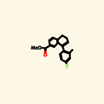 COC(=O)c1ccc2c(c1)C(c1ccc(F)cc1C)=CCC2